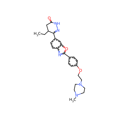 CCC1CC(=O)NN=C1c1ccc2nc(-c3ccc(OCCN4CCN(C)CC4)cc3)oc2c1